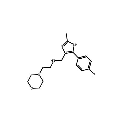 Cc1nc(CNCCN2CCOCC2)c(-c2ccc(F)cc2)[nH]1